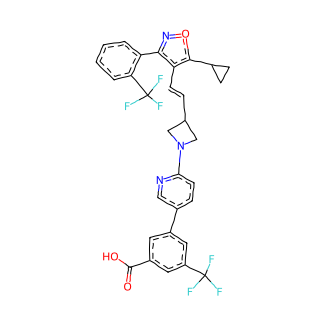 O=C(O)c1cc(-c2ccc(N3CC(/C=C/c4c(-c5ccccc5C(F)(F)F)noc4C4CC4)C3)nc2)cc(C(F)(F)F)c1